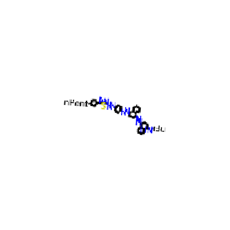 CCCCCc1ccc(-c2nnc(/N=N/c3ccc(/N=N/c4ccc(/N=N/c5ccc(NC(C)CC)c6ccccc56)c5ccccc45)cc3)s2)cc1